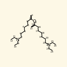 C=C(CCCCCCN(CC)CC)OC(=C)CCCCCCN(CC)CC